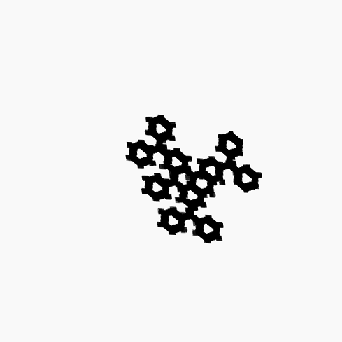 c1ccc(N(c2ccccc2)c2ccc3c(n2)Oc2cc(N(c4ccccc4)c4ccccc4)nc4c2B3c2ccc(N(c3ccccc3)c3ccccc3)nc2N4c2ccccc2)cc1